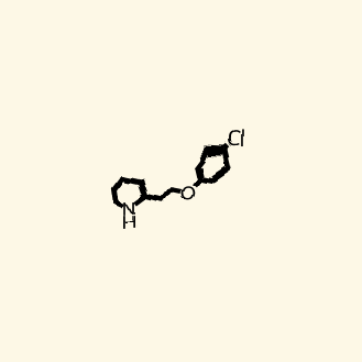 Clc1ccc(OCCC2CCCCN2)cc1